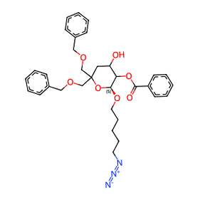 [N-]=[N+]=NCCCCCO[C@H]1OC(COCc2ccccc2)(COCc2ccccc2)CC(O)C1OC(=O)c1ccccc1